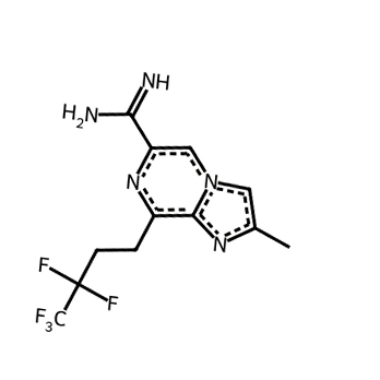 Cc1cn2cc(C(=N)N)nc(CCC(F)(F)C(F)(F)F)c2n1